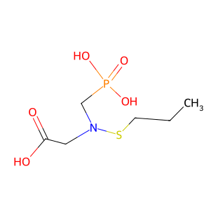 CCCSN(CC(=O)O)CP(=O)(O)O